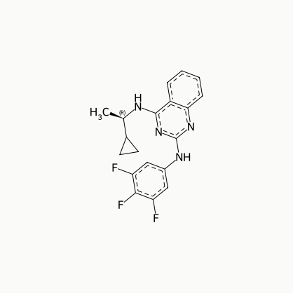 C[C@@H](Nc1nc(Nc2cc(F)c(F)c(F)c2)nc2ccccc12)C1CC1